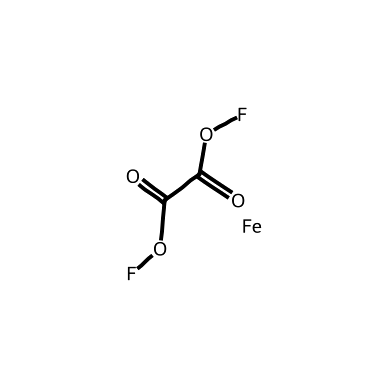 O=C(OF)C(=O)OF.[Fe]